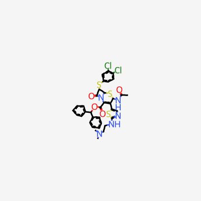 CC(=O)NC1SC2C(Sc3ccc(Cl)c(Cl)c3)C(=O)N2C(C(=O)OC(c2ccccc2)c2ccccc2)=C1c1cnc(NCCN(C)C)s1